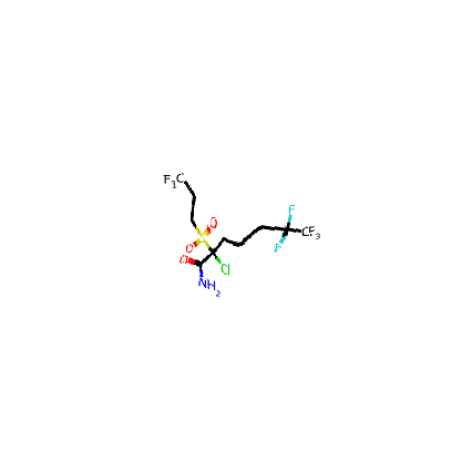 NC(=O)C(Cl)(CCCC(F)(F)C(F)(F)F)S(=O)(=O)CCC(F)(F)F